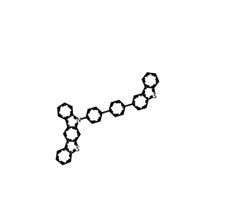 c1ccc2c(c1)sc1ccc(-c3ccc(-c4ccc(-n5c6ccccc6c6cc7c(cc65)sc5ccccc57)cc4)cc3)cc12